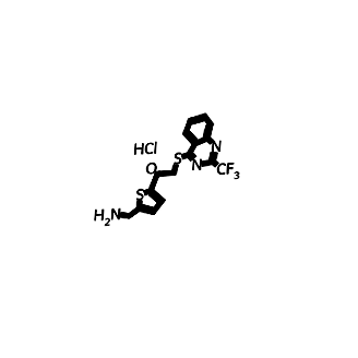 Cl.NCc1ccc(C(=O)CSc2nc(C(F)(F)F)nc3ccccc23)s1